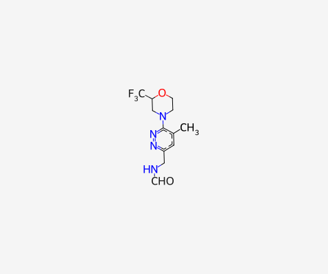 Cc1cc(CNC=O)nnc1N1CCOC(C(F)(F)F)C1